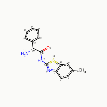 Cc1ccc2nc(NC(=O)[C@H](N)c3ccccc3)sc2c1